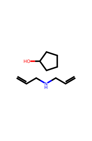 C=CCNCC=C.OC1CCCC1